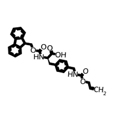 C=CCOC(=O)NCc1ccc(C[C@@H](NC(=O)OCC2c3ccccc3-c3ccccc32)C(=O)O)cc1